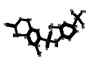 O=C1COc2cc(S(=O)(=O)Nc3ccc(C(F)(F)F)cc3Cl)c(Br)cc2N1